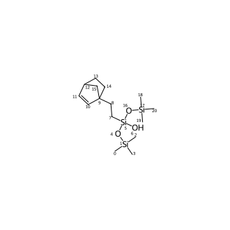 C[Si](C)(C)O[Si](O)(CCC12C=CC(CC1)C2)O[Si](C)(C)C